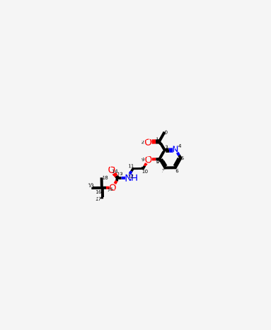 CC(=O)c1ncccc1OCCNC(=O)OC(C)(C)C